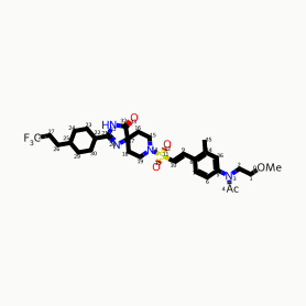 COCCN(C(C)=O)c1ccc(C=CS(=O)(=O)N2CCC3(CC2)N=C(C2CCC(CCC(F)(F)F)CC2)NC3=O)c(C)c1